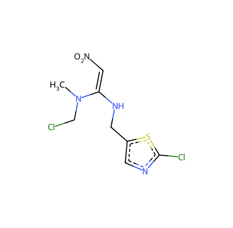 CN(CCl)C(=C[N+](=O)[O-])NCc1cnc(Cl)s1